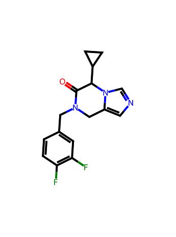 O=C1C(C2CC2)n2cncc2CN1Cc1ccc(F)c(F)c1